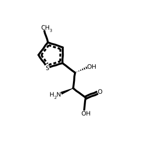 Cc1csc([C@H](O)[C@H](N)C(=O)O)c1